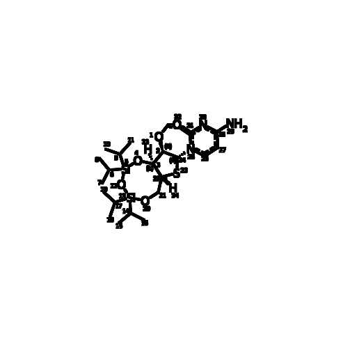 CO[C@@H]1[C@@H]2O[Si](C(C)C)(C(C)C)O[Si](C(C)C)(C(C)C)OC[C@H]2S[C@H]1n1ccc(N)nc1=O